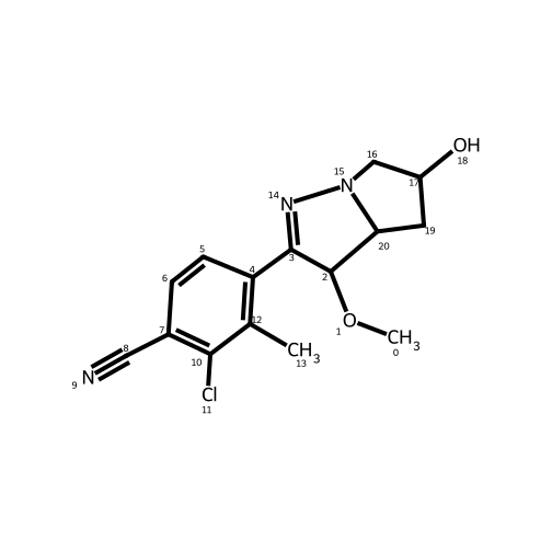 COC1C(c2ccc(C#N)c(Cl)c2C)=NN2CC(O)CC12